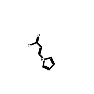 O=C(Cl)C=C[SH]1C=CC=C1